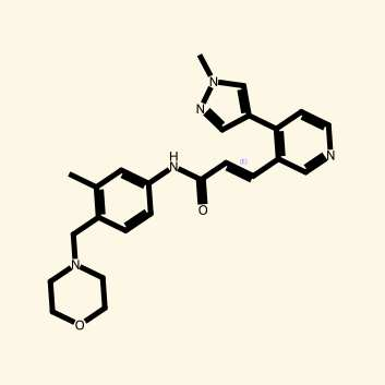 Cc1cc(NC(=O)/C=C/c2cnccc2-c2cnn(C)c2)ccc1CN1CCOCC1